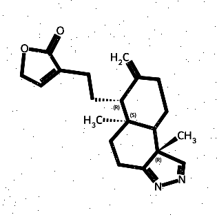 C=C1CCC2[C@]3(C)C=NN=C3CC[C@@]2(C)[C@@H]1CCC1=CCOC1=O